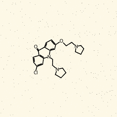 O=c1c2ccc(Cl)cc2n(CCN2CCCC2)c2cc(OCCN3CCCC3)ccc12